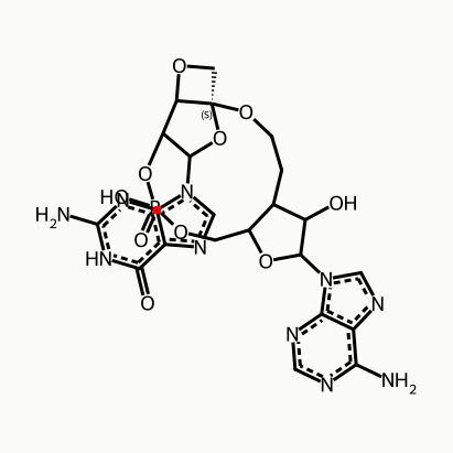 Nc1nc2c(ncn2C2O[C@@]34COC3C2OP(=O)(O)OCC2OC(n3cnc5c(N)ncnc53)C(O)C2CCO4)c(=O)[nH]1